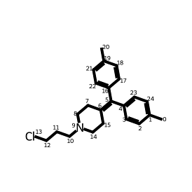 Cc1ccc(C(=C2CCN(CCCCl)CC2)c2ccc(C)cc2)cc1